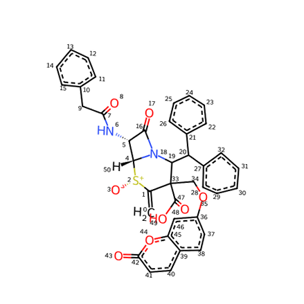 C=C1[S@+]([O-])[C@@H]2[C@H](NC(=O)Cc3ccccc3)C(=O)N2C(C(c2ccccc2)c2ccccc2)C1(COc1ccc2ccc(=O)oc2c1)C(=O)O